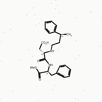 COC(=O)[C@H](Cc1ccccc1)NC(=O)[C@H](CC(=O)O)NCC[C@H](C)c1ccccc1